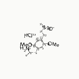 COc1cc(CC(C)N)c(OC)cc1CC[S+](C)[O-].Cl